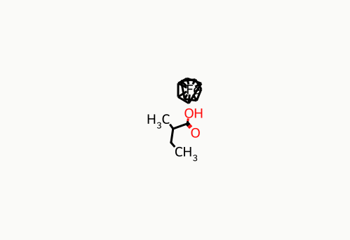 CCC(C)C(=O)O.[CH]12[CH]3[CH]4[CH]5[CH]1[Fe]23451678[CH]2[CH]1[CH]6[CH]7[CH]28